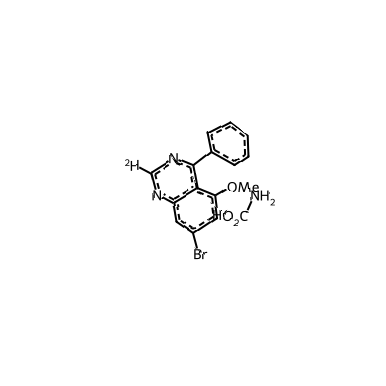 NC(=O)O.[2H]c1nc(-c2ccccc2)c2c(OC)cc(Br)cc2n1